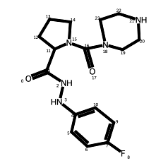 O=C(NNc1ccc(F)cc1)C1CCCN1C(=O)N1CCNCC1